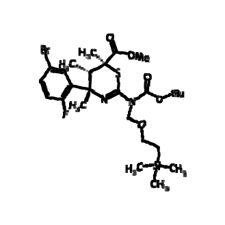 COC(=O)[C@@]1(C)SC(N(COCC[Si](C)(C)C)C(=O)OC(C)(C)C)=N[C@](C)(c2cc(Br)ccc2F)[C@@H]1C